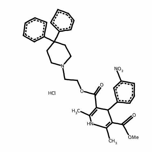 COC(=O)C1=C(C)NC(C)=C(C(=O)OCCN2CCC(c3ccccc3)(c3ccccc3)CC2)C1c1cccc([N+](=O)[O-])c1.Cl